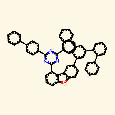 c1ccc(-c2ccc(-c3nc(-c4ccccc4)nc(-c4cccc5oc6ccc(-c7cc(-c8ccccc8)cc(-c8ccccc8-c8ccccc8)c7)cc6c45)n3)cc2)cc1